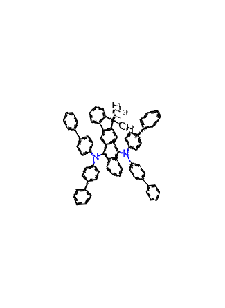 CC1(C)c2ccccc2-c2cc3c(N(c4ccc(-c5ccccc5)cc4)c4ccc(-c5ccccc5)cc4)c4ccccc4c(N(c4ccc(-c5ccccc5)cc4)c4ccc(-c5ccccc5)cc4)c3cc21